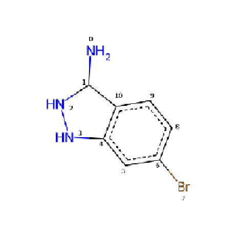 NC1NNc2cc(Br)ccc21